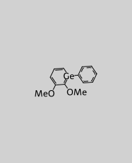 COC1=CC=[CH][Ge]([c]2ccccc2)=[C]1OC